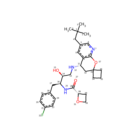 CC(C)(C)Cc1cnc2c(c1)[C@@H](NC[C@H](O)[C@H](Cc1ccc(F)cc1)NC(=O)[C@@H]1CCO1)CC1(CCC1)O2